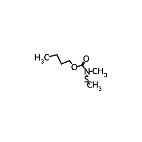 CCCCOC(=O)N(C)SC